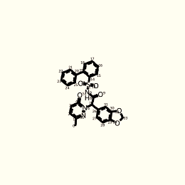 Cc1ccc(=O)n(C(C(=O)NS(=O)(=O)c2ccccc2-c2ccccc2)c2ccc3c(c2)OCO3)n1